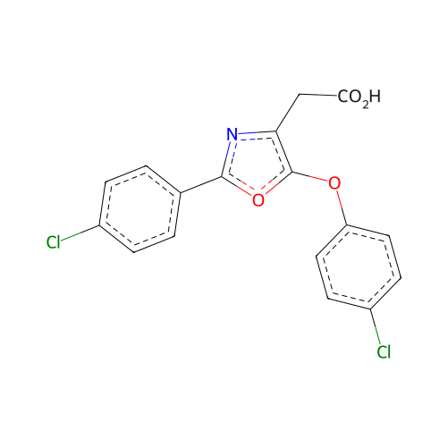 O=C(O)Cc1nc(-c2ccc(Cl)cc2)oc1Oc1ccc(Cl)cc1